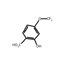 O=C(O)c1ccc(OC(F)(F)F)cc1O